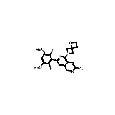 COc1cc(OC)c(F)c(-c2cc3cnc(Cl)cc3c(N3CC4(CCO4)C3)n2)c1F